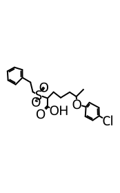 CC(CCCC(C(=O)O)S(=O)(=O)CCc1ccccc1)Oc1ccc(Cl)cc1